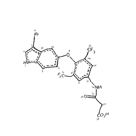 CC(C)c1c[nH]c2ccc(Oc3c(C(F)(F)F)cc(NC(=O)CC(=O)O)cc3C(F)(F)F)cc12